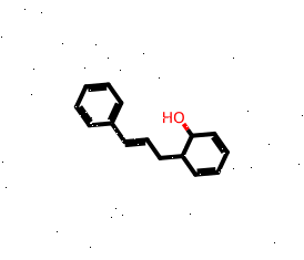 OC1C=CC=CC1CC=Cc1ccccc1